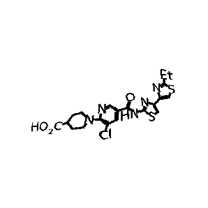 CCc1nc(-c2csc(NC(=O)c3cnc(N4CCC(C(=O)O)CC4)c(Cl)c3)n2)cs1